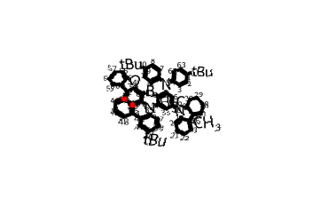 CC(C)(C)c1ccc(N2c3ccc(C(C)(C)C)cc3B3c4c2cc(N2c5ccccc5C5(C)CCCCC25C)cc4N(c2ccc(C(C)(C)C)cc2-c2ccccc2)c2ccc4c(oc5ccccc54)c23)cc1